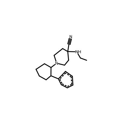 CCNC1(C#N)CCN(C2CCCCC2c2ccccc2)CC1